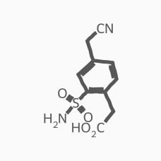 N#CCc1ccc(CC(=O)O)c(S(N)(=O)=O)c1